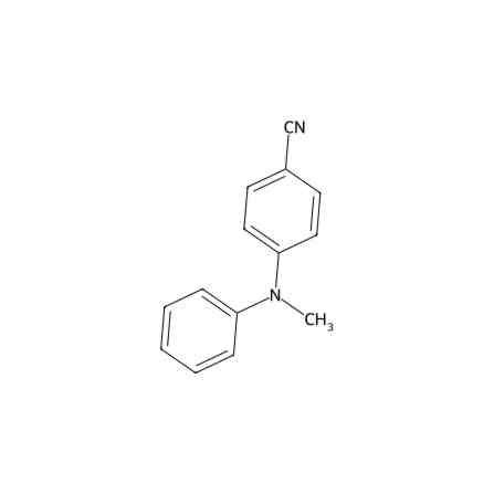 CN(c1ccccc1)c1ccc(C#N)cc1